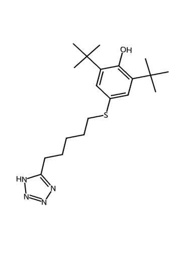 CC(C)(C)c1cc(SCCCCCc2nnn[nH]2)cc(C(C)(C)C)c1O